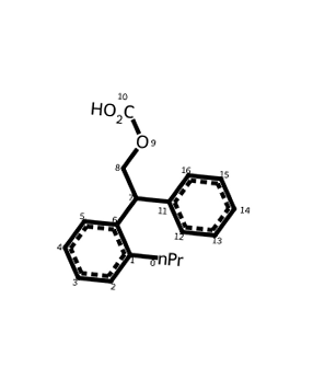 CCCc1ccccc1C(COC(=O)O)c1ccccc1